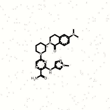 CN(C)c1ccc2c(c1)CCN([C@@H]1CCCN(c3cnc(C(N)=O)c(Nc4cnn(C)c4)n3)C1)C2=O